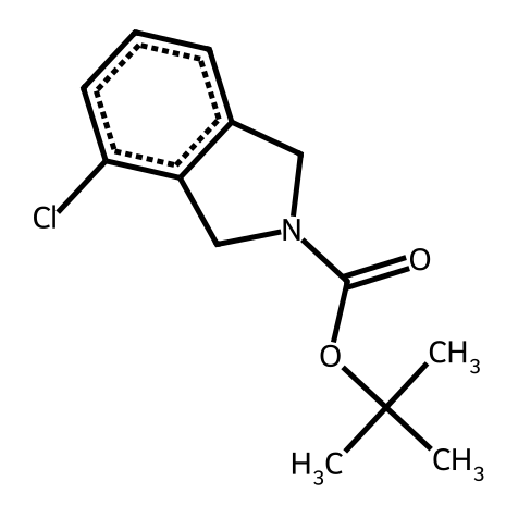 CC(C)(C)OC(=O)N1Cc2cccc(Cl)c2C1